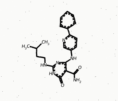 CC(C)CCNc1nc(Nc2ccc(-c3ccccc3)nc2)c(C(N)=O)c(=O)[nH]1